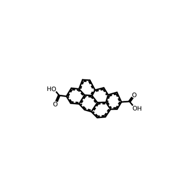 O=C(O)c1cc2ccc3cc4cc(C(=O)O)cc5ccc6cc(c1)c2c3c6c54